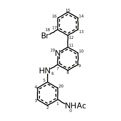 CC(=O)Nc1cccc(Nc2cccc(-c3ccccc3Br)n2)c1